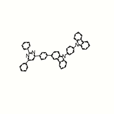 c1ccc(-c2cc(-c3ccc(-c4ccc5c(c4)c4ccccc4n5-c4ccc(-n5c6ccccc6c6ccccc65)cc4)cc3)nc(-c3ccccc3)n2)cc1